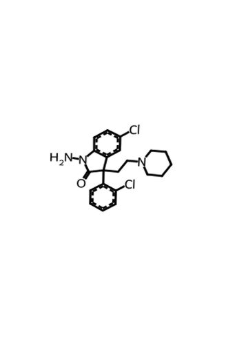 NN1C(=O)C(CCN2CCCCC2)(c2ccccc2Cl)c2cc(Cl)ccc21